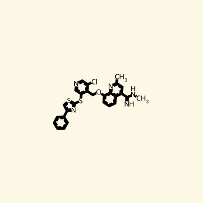 CNC(=N)c1cc(C)nc2c(OCc3c(Cl)cncc3Sc3nc(-c4ccccc4)cs3)cccc12